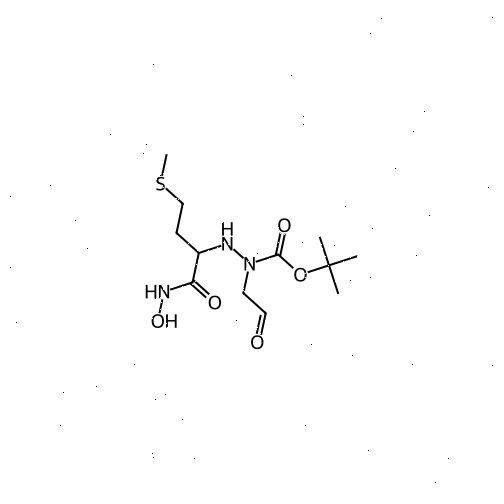 CSCCC(NN(CC=O)C(=O)OC(C)(C)C)C(=O)NO